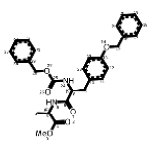 COC(=O)[C@@H](C)NC(=O)[C@H](Cc1ccc(OCc2ccccc2)cc1)NC(=O)OCc1ccccc1